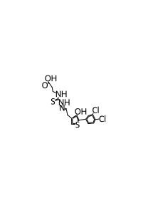 O=C(O)CCNC(=S)NN=CCc1csc(-c2ccc(Cl)c(Cl)c2)c1O